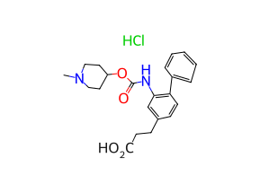 CN1CCC(OC(=O)Nc2cc(CCC(=O)O)ccc2-c2ccccc2)CC1.Cl